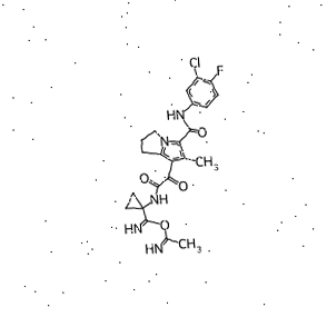 CC(=N)OC(=N)C1(NC(=O)C(=O)c2c(C)c(C(=O)Nc3ccc(F)c(Cl)c3)n3c2CCC3)CC1